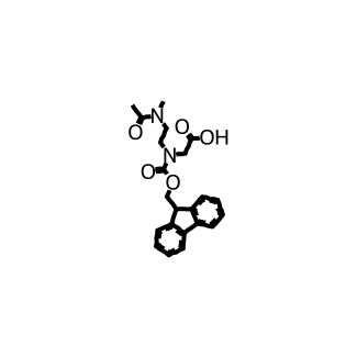 CC(=O)N(C)CCN(CC(=O)O)C(=O)OCC1c2ccccc2-c2ccccc21